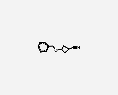 N#C[C]1CC(OCc2ccccc2)C1